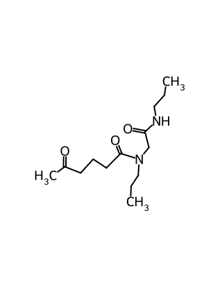 CCCNC(=O)CN(CCC)C(=O)CCCC(C)=O